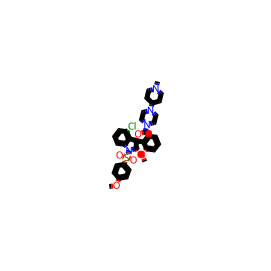 COc1ccc(S(=O)(=O)N2C(=O)C(OC(=O)N3CCN(C4CCN(C)CC4)CC3)(c3ccccc3OC)c3c(Cl)cccc32)cc1